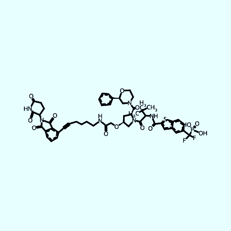 CC(C)(C)C(NC(=O)c1cc2cc(C(F)(F)P(=O)(O)O)ccc2s1)C(=O)N1C[C@@H](OCC(=O)NCCCCC#Cc2cccc3c2C(=O)N(C2CCC(=O)NC2=O)C3=O)C[C@H]1C(=O)N1CCO[C@H](c2ccccc2)C1